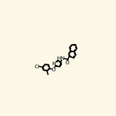 Cc1cc(Cl)ccc1Oc1ccc(NC(=O)c2ccc3ccccc3c2)cn1